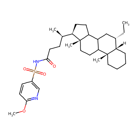 CC[C@H]1CC2C3CC[C@H]([C@H](C)CCC(=O)NS(=O)(=O)c4ccc(OC)nc4)[C@@]3(C)CCC2[C@@]2(C)CCCC[C@@H]12